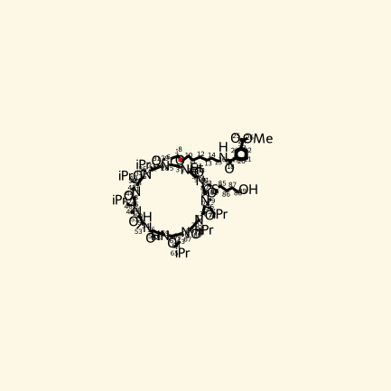 CC[C@@H]1NC(=O)[C@H](C[C@H](C)CCCCCCCNC(=O)c2cccc(C(=O)OC)c2)N(C)C(=O)[C@H](C(C)C)N(C)C(=O)[C@H](CC(C)C)N(C)C(=O)[C@H](CC(C)C)N(C)C(=O)[C@H](C)NC(=O)[C@@H](C)NC(=O)[C@@H](CCC(C)C)N(C)C(=O)[C@@H](C(C)C)NC(=O)[C@H](CC(C)C)N(C)C(=O)[C@@H](CSCCCCO)N(C)C1=O